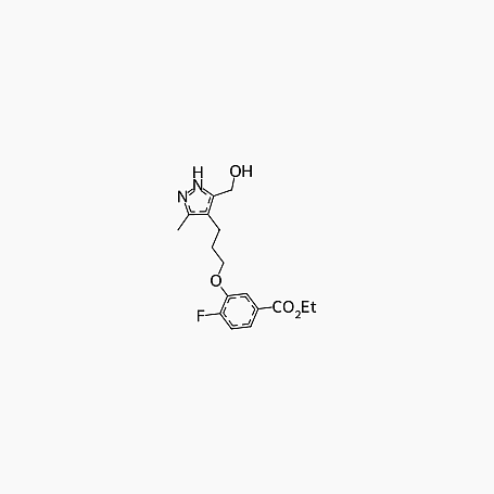 CCOC(=O)c1ccc(F)c(OCCCc2c(C)n[nH]c2CO)c1